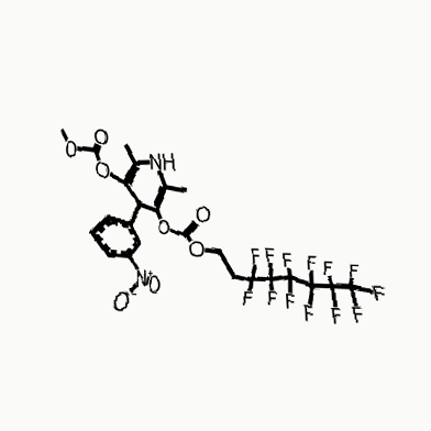 COC(=O)OC1=C(C)NC(C)=C(OC(=O)OCCC(F)(F)C(F)(F)C(F)(F)C(F)(F)C(F)(F)C(F)(F)F)C1c1cccc([N+](=O)[O-])c1